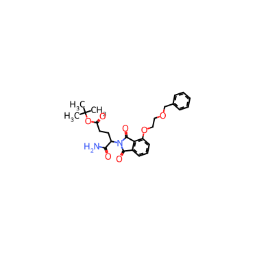 CC(C)(C)OC(=O)CCC(C(N)=O)N1C(=O)c2cccc(OCCOCc3ccccc3)c2C1=O